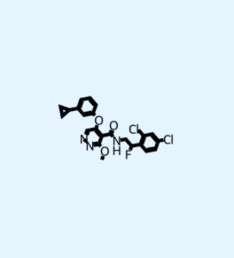 COc1nncc(Oc2cccc(C3CC3)c2)c1C(=O)NCC(F)c1ccc(Cl)cc1Cl